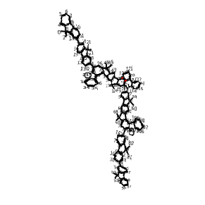 CC1(C)c2ccccc2-c2ccc(-c3ccc4c(c3)C(C)(C)c3cc(-c5cc6c(c7c5oc5ccccc57)-c5cc7c(cc5C6(C)C)-c5ccc(N(c6ccc8c(c6)C(C)(C)c6cc9c(cc6-8)C(C)(C)c6cc(-c8ccc%10c(c8)C(C)(C)c8cc(-c%11ccc%12c(c%11)C(C)(C)c%11ccccc%11-%12)ccc8-%10)c8oc%10ccccc%10c8c6-9)c6ccccc6-c6ccccc6)cc5C7(C)C)ccc3-4)cc21